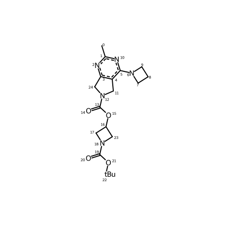 Cc1nc2c(c(N3CCC3)n1)CN(C(=O)OC1CN(C(=O)OC(C)(C)C)C1)C2